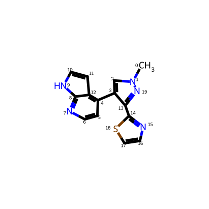 Cn1cc(-c2ccnc3[nH]ccc23)c(-c2nccs2)n1